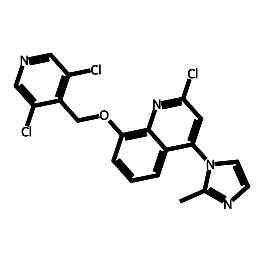 Cc1nccn1-c1cc(Cl)nc2c(OCc3c(Cl)cncc3Cl)cccc12